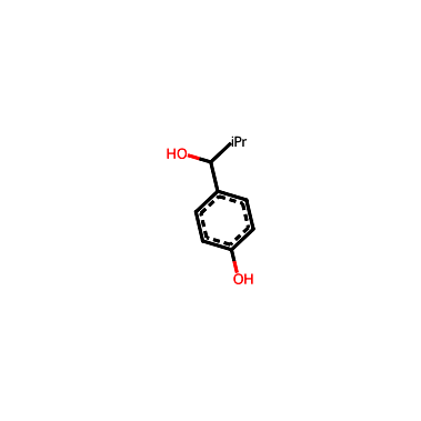 CC(C)C(O)c1ccc(O)cc1